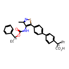 CC[C@@H](OC(=O)Nc1c(C)nsc1-c1ccc(-c2ccc([C@H](C(=O)O)C(C)C)cc2)cc1)c1ccccc1